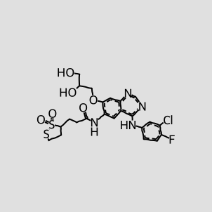 O=C(CCC1CCSS1(=O)=O)Nc1cc2c(Nc3ccc(F)c(Cl)c3)ncnc2cc1OCC(O)CO